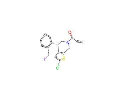 C#CC(=O)N1Cc2sc(Cl)cc2[C@H](c2ccccc2CI)C1